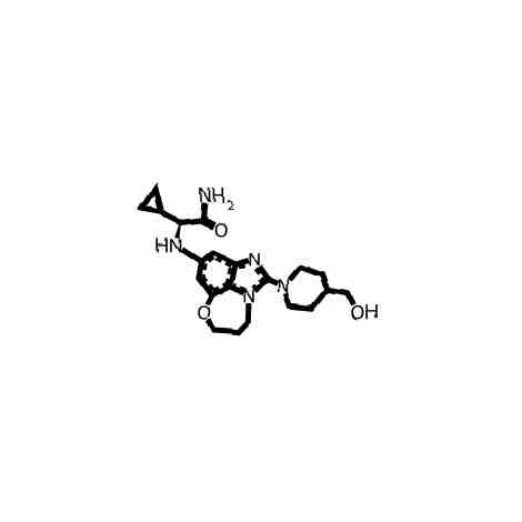 NC(=O)[C@@H](Nc1cc2c3c(c1)nc(N1CCC(CO)CC1)n3CCCO2)C1CC1